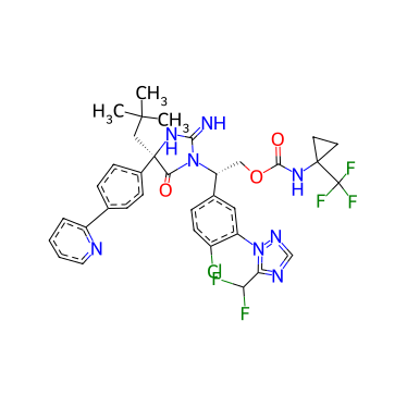 CC(C)(C)C[C@]1(c2ccc(-c3ccccn3)cc2)NC(=N)N([C@H](COC(=O)NC2(C(F)(F)F)CC2)c2ccc(Cl)c(-n3ncnc3C(F)F)c2)C1=O